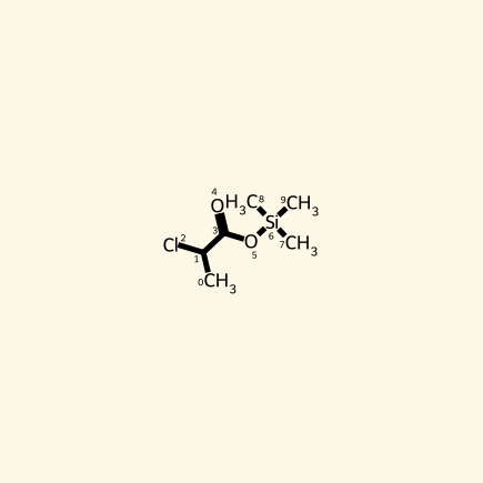 CC(Cl)C(=O)O[Si](C)(C)C